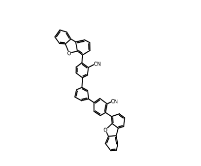 N#Cc1cc(-c2cccc(-c3ccc(-c4cccc5c4oc4ccccc45)c(C#N)c3)c2)ccc1-c1cccc2c1oc1ccccc12